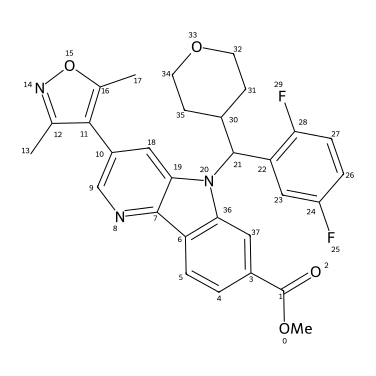 COC(=O)c1ccc2c3ncc(-c4c(C)noc4C)cc3n(C(c3cc(F)ccc3F)C3CCOCC3)c2c1